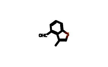 Cc1csc2cccc(C=O)c12